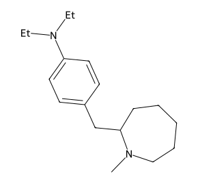 CCN(CC)c1ccc(CC2CCCCCN2C)cc1